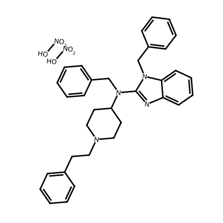 O=[N+]([O-])O.O=[N+]([O-])O.c1ccc(CCN2CCC(N(Cc3ccccc3)c3nc4ccccc4n3Cc3ccccc3)CC2)cc1